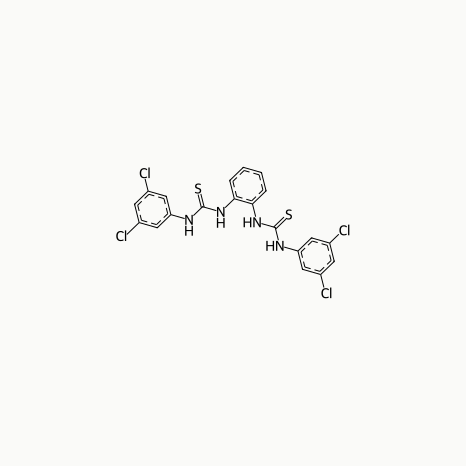 S=C(Nc1cc(Cl)cc(Cl)c1)Nc1ccccc1NC(=S)Nc1cc(Cl)cc(Cl)c1